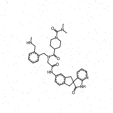 CNCc1ccccc1CN(CC(=O)Nc1ccc2c(c1)CC1(C2)C(=O)Nc2ncccc21)C(=O)C1CCN(C(=O)N(C)C)CC1